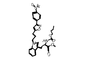 CCCCOC(=O)NC(Cc1cn(CCCc2cc(-c3ccc([N+](=O)[O-])cc3)no2)c2ccccc12)C(=O)OC